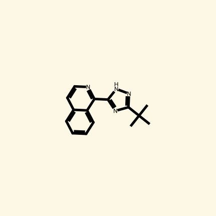 CC(C)(C)c1n[nH]c(-c2nccc3ccccc23)n1